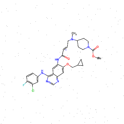 CN(C/C=C/C(=O)Nc1cc2c(Nc3ccc(F)c(Cl)c3)ncnc2cc1OCC1CC1)C1CCN(C(=O)OC(C)(C)C)CC1